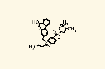 CCCc1nc2ccc(C(=O)N[C@@H](CS)CC(C)C)cc2n1Cc1ccc(-c2ccccc2C(=O)O)cc1